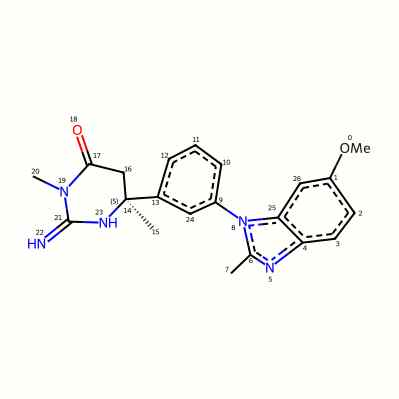 COc1ccc2nc(C)n(-c3cccc([C@]4(C)CC(=O)N(C)C(=N)N4)c3)c2c1